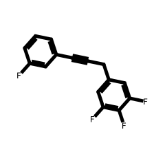 Fc1cccc(C#CCc2cc(F)c(F)c(F)c2)c1